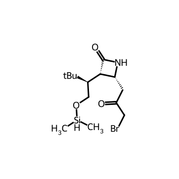 C[SiH](C)OC[C@H]([C@@H]1C(=O)N[C@@H]1CC(=O)CBr)C(C)(C)C